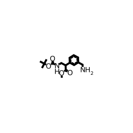 COC(=O)C(CNC(=O)OC(C)(C)C)c1cccc(CN)c1